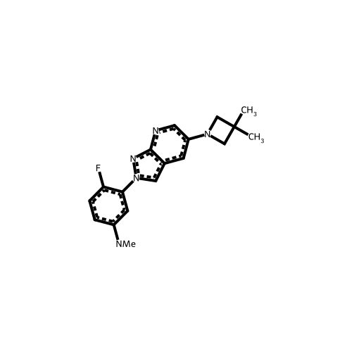 CNc1ccc(F)c(-n2cc3cc(N4CC(C)(C)C4)cnc3n2)c1